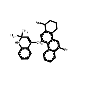 CC1=CC(C)(C)Nc2ccccc21.CCc1cc2c3c(ccc2c2ccccc12)C(C(C)=O)CCC3